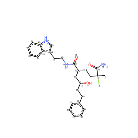 CC(F)(CC[C@H](C[C@@H](O)[CH]Cc1ccccc1)C(=O)NCCc1c[nH]c2ccccc12)C(N)=O